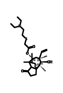 C=C[C@]1(C)C[C@@H](OC(=O)CSCCN(CC)CC)C2(C)C(C)CCC3(CCC(=O)C32)[C@@H](C)[C@@H]1O